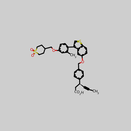 CC#C[C@@H](CC(=O)O)c1ccc(COc2ccc3scc(-c4ccc(OCC5CCS(=O)(=O)CC5)cc4C)c3c2)cc1